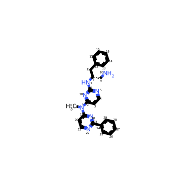 CN(c1ccnc(N[C@@H](CN)Cc2ccccc2)n1)c1ccnc(-c2ccccc2)n1